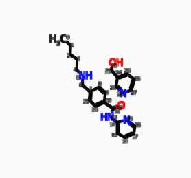 CCCCCNCc1ccc(C(=O)Nc2ccccn2)cc1.OCc1cccnc1